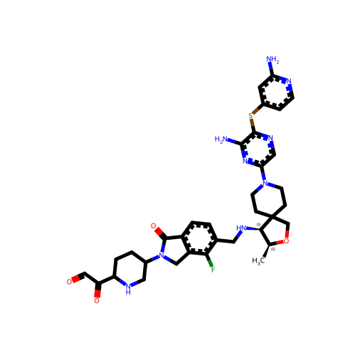 C[C@@H]1OCC2(CCN(c3cnc(Sc4ccnc(N)c4)c(N)n3)CC2)[C@@H]1NCc1ccc2c(c1F)CN(C1CCC(C(=O)C=O)NC1)C2=O